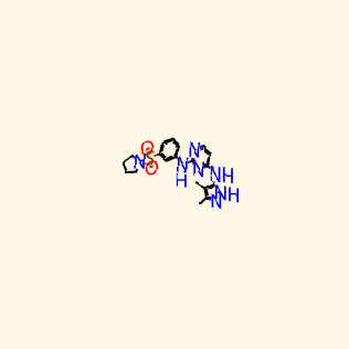 Cc1n[nH]c(Nc2ccnc(Nc3cccc(S(=O)(=O)N4CCCC4)c3)n2)c1C